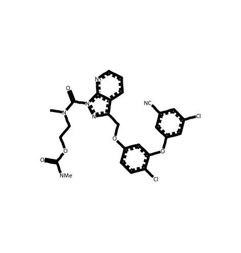 CNC(=O)OCCN(C)C(=O)n1nc(COc2ccc(Cl)c(Oc3cc(Cl)cc(C#N)c3)c2)c2cccnc21